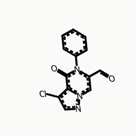 O=Cc1cn2ncc(Cl)c2c(=O)n1-c1ccccc1